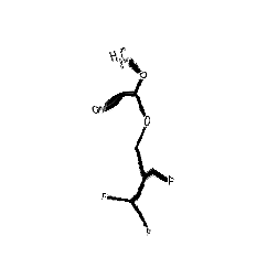 COC(=O)OCC(F)C(F)F